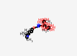 CC1O[C@@H](OC2[C@H](OCc3cn(CCCO[C@H]4CC[C@@]5(C)C(=CCC6C7CC8C([C@H](C)C9CC[C@H](C)CN89)[C@@]7(C)CCC65)C4)nn3)OC(CO)[C@@H](O[C@@H]3OC(C)[C@H](O)C(O)[C@@H]3O)[C@@H]2O)[C@@H](O)C(O)[C@H]1O